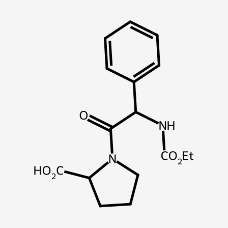 CCOC(=O)NC(C(=O)N1CCCC1C(=O)O)c1ccccc1